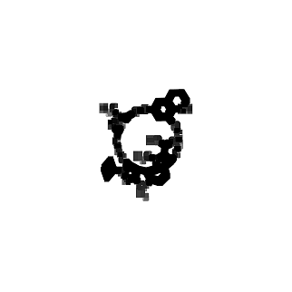 Cc1nn(C23CC2C3)c2c1-c1c(F)ccc3c(c(C(=O)O)n(C)c13)CCCOc1cc(cc3c1NCCC3)SCc1cc(nn1C)CSC2